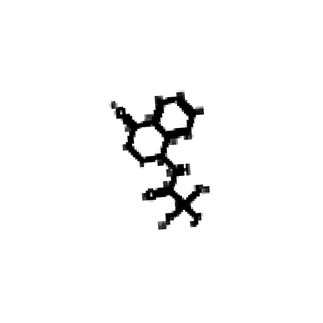 O=C1CCC(NC(=O)C(F)(F)F)c2ccccc21